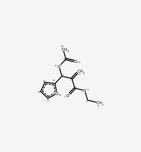 C=C(C(=O)OCC)C(OC(C)=O)c1ccco1